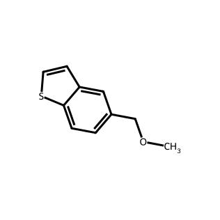 COCc1ccc2sccc2c1